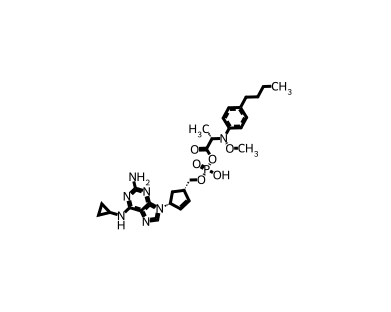 CCCCc1ccc(N(OC)[C@@H](C)C(=O)OP(=O)(O)OC[C@@H]2C=C[C@H](n3cnc4c(NC5CC5)nc(N)nc43)C2)cc1